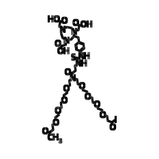 CC(=O)CCOCCOCCOCCOCCN(CCOCCOCCOCCOCCC(=O)I)C(=O)CCNC(=S)Nc1ccc(CC2CN(CC(=O)O)CCN(CC(=O)O)CCN2CC(=O)O)cc1